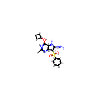 Cc1nc(OC2CCC2)c2[nH]c(N)c(S(=O)(=O)c3ccccc3)c2n1